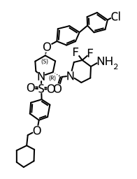 NC1CCN(C(=O)[C@H]2C[C@@H](Oc3ccc(-c4ccc(Cl)cc4)cc3)CCN2S(=O)(=O)c2ccc(OCC3CCCCC3)cc2)CC1(F)F